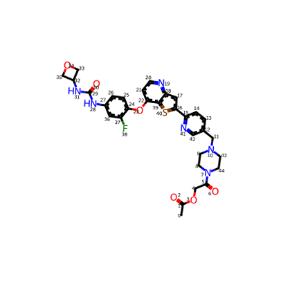 CC(=O)OCC(=O)N1CCN(Cc2ccc(-c3cc4nccc(Oc5ccc(NC(=O)NC6COC6)cc5F)c4s3)nc2)CC1